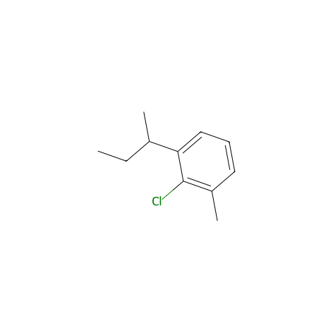 CCC(C)c1cccc(C)c1Cl